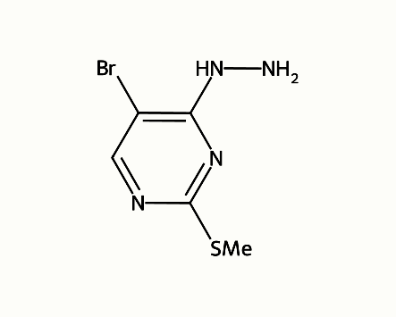 CSc1ncc(Br)c(NN)n1